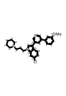 COc1cccc(-c2cncc(-c3cn(CCCN4CCCCC4)c4cc(Cl)ccc34)c2)c1